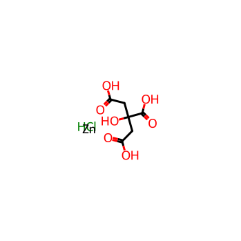 Cl.O=C(O)CC(O)(CC(=O)O)C(=O)O.[Zn]